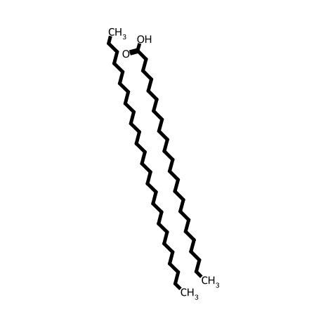 CCCCCCCCCCCCCCCCCCCCCCCC(=O)O.CCCCCCCCCCCCCCCCCCCCCCCCCCC